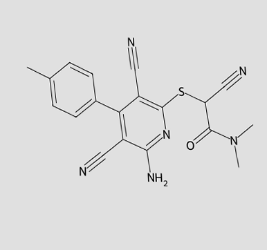 Cc1ccc(-c2c(C#N)c(N)nc(SC(C#N)C(=O)N(C)C)c2C#N)cc1